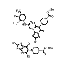 CCc1[nH]c2nc(Br)nn2c(=O)c1N1CCN(C(=O)OC(C)(C)C)CC1.CCc1c(N2CCN(C(=O)OC(C)(C)C)CC2)c(=O)n2nc(Br)nc2n1CC(=O)Nc1ccc(C(F)(F)F)c(F)c1C